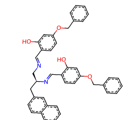 Oc1cc(OCc2ccccc2)ccc1C=NC[C@H](Cc1ccc2ccccc2c1)N=Cc1ccc(OCc2ccccc2)cc1O